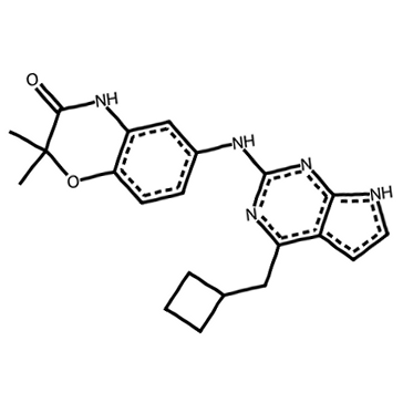 CC1(C)Oc2ccc(Nc3nc(CC4CCC4)c4cc[nH]c4n3)cc2NC1=O